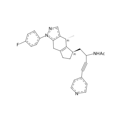 CC(=O)NC(C#Cc1ccncc1)C[C@H]1CCC2=C1[C@@H](C)c1cnn(-c3ccc(F)cc3)c1C2